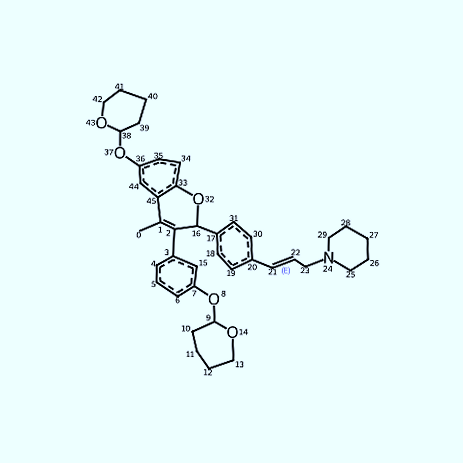 CC1=C(c2cccc(OC3CCCCO3)c2)C(c2ccc(/C=C/CN3CCCCC3)cc2)Oc2ccc(OC3CCCCO3)cc21